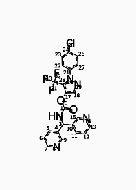 O=C(NC(c1cccnc1)c1cccnc1)Oc1cnn(-c2ccc(Cl)cc2)c1C(F)(F)F